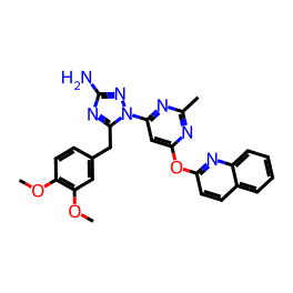 COc1ccc(Cc2nc(N)nn2-c2cc(Oc3ccc4ccccc4n3)nc(C)n2)cc1OC